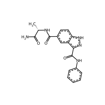 C[C@H](NC(=O)c1ccc2[nH]nc(C(=O)Nc3ccccc3)c2c1)C(N)=O